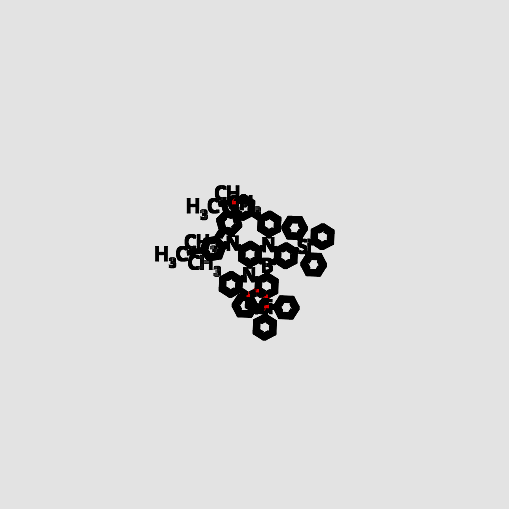 CC(C)(C)c1ccc2c(c1)c1cc(C(C)(C)C)ccc1n2-c1cc2c3c(c1)N(c1ccccc1-c1ccccc1)c1cc([Si](c4ccccc4)(c4ccccc4)c4ccccc4)ccc1B3c1ccc([Si](c3ccccc3)(c3ccccc3)c3ccccc3)cc1N2c1cccc(-c2ccccc2)c1